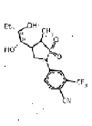 CC[C@H](O)[C@@H](O)C1CN(c2ccc(C#N)c(C(F)(F)F)c2)S(=O)(=O)C1C